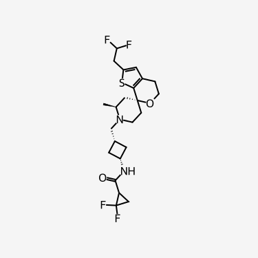 C[C@H]1C[C@@]2(CCN1C[C@H]1C[C@@H](NC(=O)C3CC3(F)F)C1)OCCc1cc(CC(F)F)sc12